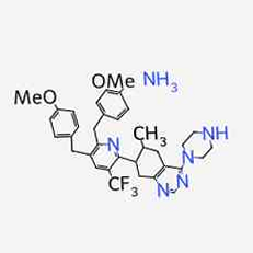 COc1ccc(Cc2cc(C(F)(F)F)c(C3Cc4ncnc(N5CCNCC5)c4CC3C)nc2Cc2ccc(OC)cc2)cc1.N